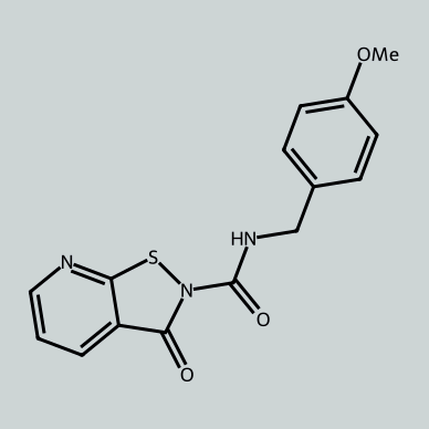 COc1ccc(CNC(=O)n2sc3ncccc3c2=O)cc1